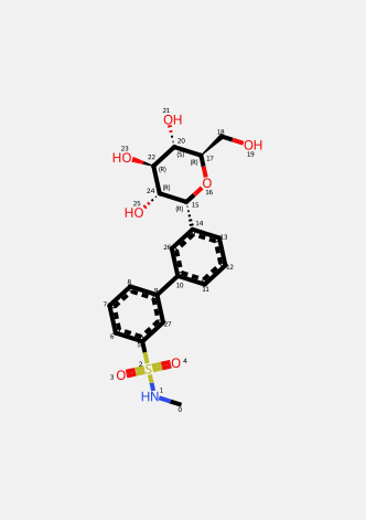 CNS(=O)(=O)c1cccc(-c2cccc([C@H]3O[C@H](CO)[C@@H](O)[C@H](O)[C@H]3O)c2)c1